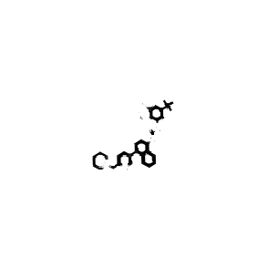 COc1c(N)cc(C(C)(C)C)cc1NC(=O)Nc1ccc(-c2ccc(CN3CCCCC3)nc2)c2ccccc12